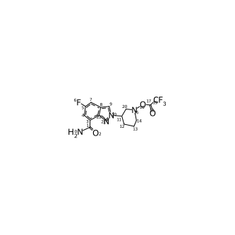 NC(=O)c1cc(F)cc2cn(C3CCCN(OC(=O)C(F)(F)F)C3)nc12